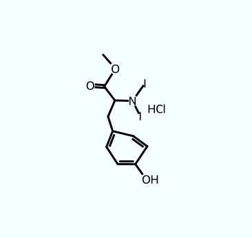 COC(=O)C(Cc1ccc(O)cc1)N(I)I.Cl